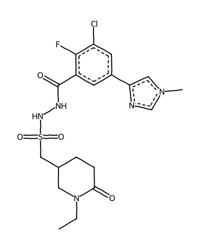 CCN1CC(CS(=O)(=O)NNC(=O)c2cc(-c3cn(C)cn3)cc(Cl)c2F)CCC1=O